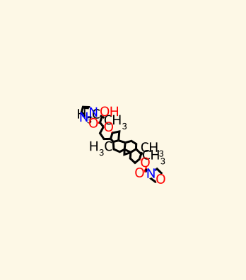 CC(C)(O)C(Oc1ncccn1)C1CCC2C(CC3C4CCC5C(C)(C)C(OC(=O)N6CCOCC6)CCC56CC46CCC23C)O1